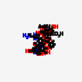 CC(=O)NC1C(O)CC(CC2C(O)C(CO)OC(OC3CC(C(=O)NCCN)CC(NC(=O)c4cc(O)nc(O)n4)C3OC3OC(C)C(O)C(O)C3O)C2OC(=O)c2ccccc2)(C(=O)O)OC1[C@H](O)[C@H](O)CO